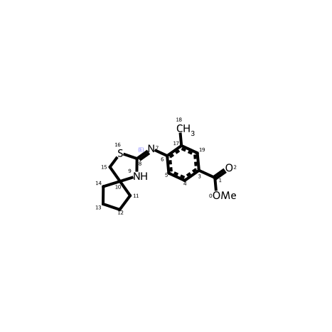 COC(=O)c1ccc(/N=C2\NC3(CCCC3)CS2)c(C)c1